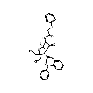 O=C(COc1ccccc1)NC1C(=O)N2[C@@H](C(=O)OC(c3ccccc3)c3ccccc3)[C@](CCl)(CBr)S[C@@H]12